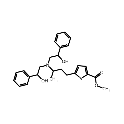 COC(=O)c1ccc(CCC(C)N(CC(O)c2ccccc2)CC(O)c2ccccc2)s1